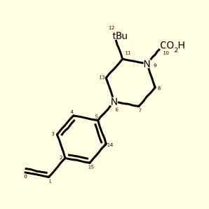 C=Cc1ccc(N2CCN(C(=O)O)C(C(C)(C)C)C2)cc1